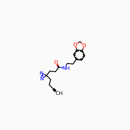 C#CCCC1(CCC(=O)NCCc2ccc3c(c2)OCO3)N=N1